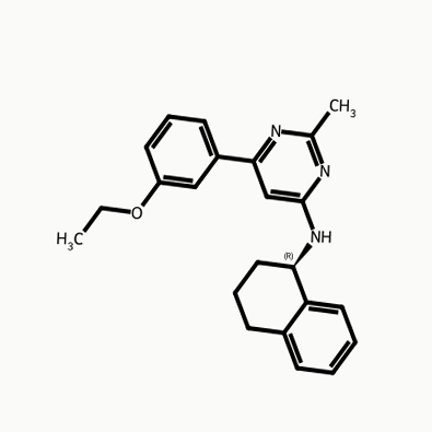 CCOc1cccc(-c2cc(N[C@@H]3CCCc4ccccc43)nc(C)n2)c1